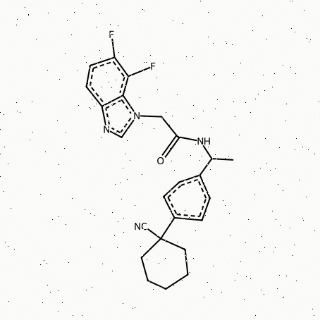 CC(NC(=O)Cn1cnc2ccc(F)c(F)c21)c1ccc(C2(C#N)CCCCC2)cc1